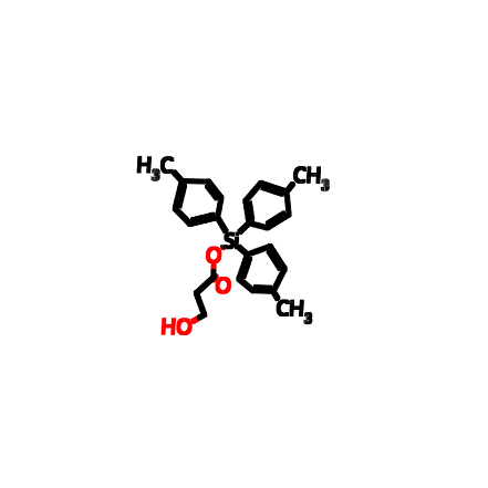 Cc1ccc([Si](OC(=O)CCO)(c2ccc(C)cc2)c2ccc(C)cc2)cc1